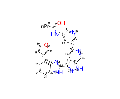 CCCC(O)Nc1cncc(-c2cc3c(-c4nc5c(-c6ccoc6)cccc5[nH]4)n[nH]c3cn2)c1